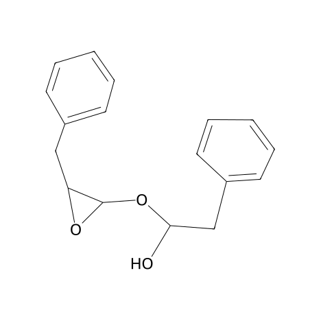 OC(Cc1ccccc1)OC1OC1Cc1ccccc1